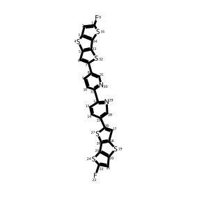 Fc1cc2sc3cc(-c4ccc(-c5ccc(-c6cc7sc8cc(F)sc8c7s6)cn5)nc4)sc3c2s1